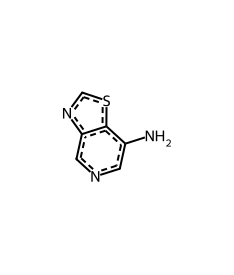 Nc1cncc2ncsc12